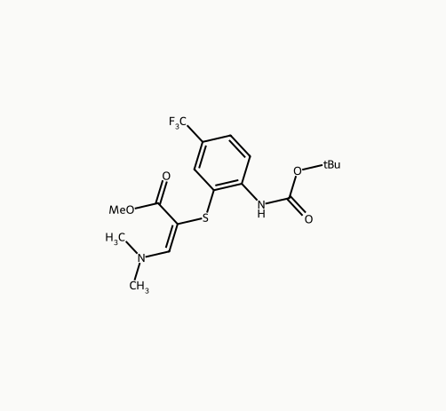 COC(=O)C(=CN(C)C)Sc1cc(C(F)(F)F)ccc1NC(=O)OC(C)(C)C